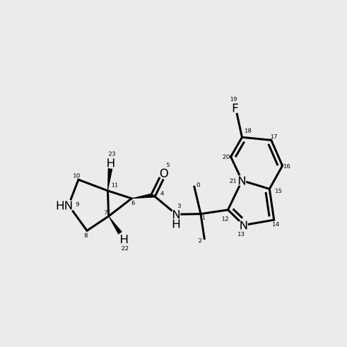 CC(C)(NC(=O)[C@H]1[C@@H]2CNC[C@@H]21)c1ncc2ccc(F)cn12